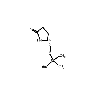 CC(C)(C)[Si](C)(C)OC[C@H]1CCC(=S)N1